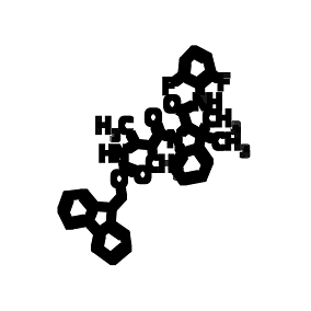 CC(NC(=O)OCC1c2ccccc2-c2ccccc21)C(C)C(=O)N1c2ccccc2C(C)(C)C1C(=O)Nc1c(F)cccc1F